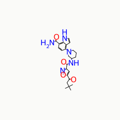 CC(C)(C)CC(=O)c1cc(C(=O)N[C@@H]2CCCN(c3ccc(C(N)=O)c4[nH]ccc34)C2)no1